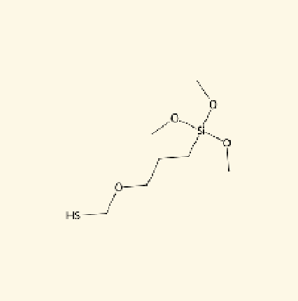 CO[Si](CCCOCS)(OC)OC